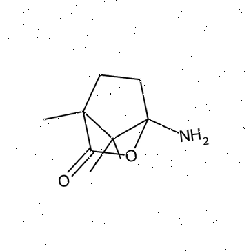 CC12CCC(N)(OC1=O)C2(C)C